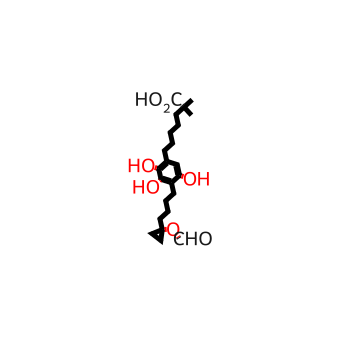 CC(C)(CCCCCc1cc(O)c(CCCCC2(OC=O)CC2)c(O)c1O)C(=O)O